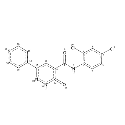 O=C(Nc1ccc(Cl)cc1Cl)c1cc(-c2ccncc2)n[nH]c1=O